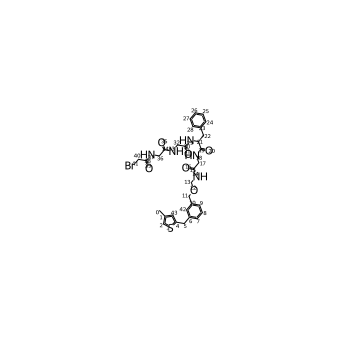 Cc1csc(Cc2cccc(COCNC(=O)CNC(=O)[C@H](Cc3ccccc3)NC(=O)CNC(=O)CNC(=O)CBr)c2)c1